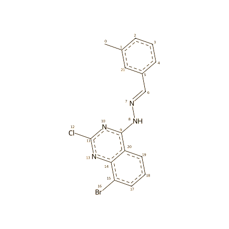 Cc1cccc(/C=N/Nc2nc(Cl)nc3c(Br)cccc23)c1